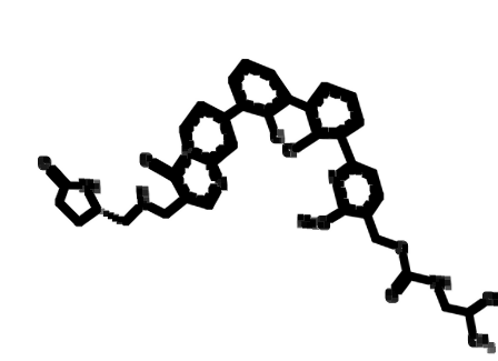 COc1nc(-c2cccc(-c3cccc(-c4ccn5c(=O)c(CNC[C@@H]6CCC(=O)N6)cnc5c4)c3Cl)c2Cl)ccc1COC(=O)NCC(C)O